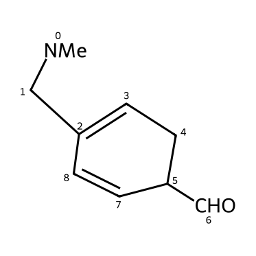 CNCC1=CCC(C=O)C=C1